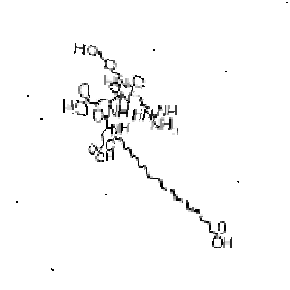 N=C(N)NCCC[C@H](NC(=O)[C@H](CCC(=O)O)NC(=O)[C@H](CCC(=O)O)NC(=O)CCCCCCCCCCCCCCCCCCC(=O)O)C(=O)NCCOCCO